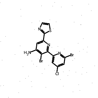 Nc1cc(-c2nccs2)nc(-c2cc(Cl)cc(Br)n2)c1Br